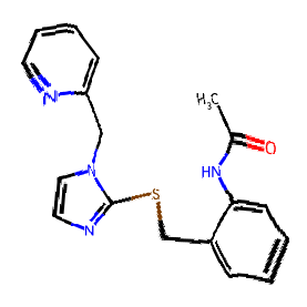 CC(=O)Nc1ccccc1CSc1nccn1Cc1ccccn1